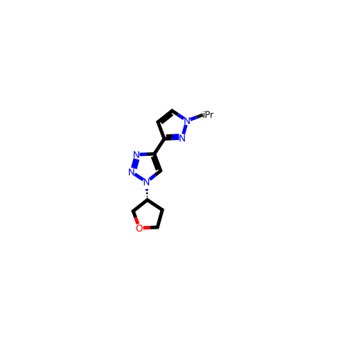 CC(C)n1ccc(-c2cn([C@@H]3CCOC3)nn2)n1